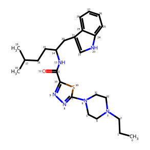 CCCN1CCN(c2nnc(C(=O)NC(CCC(C)C)Cc3c[nH]c4ccccc34)s2)CC1